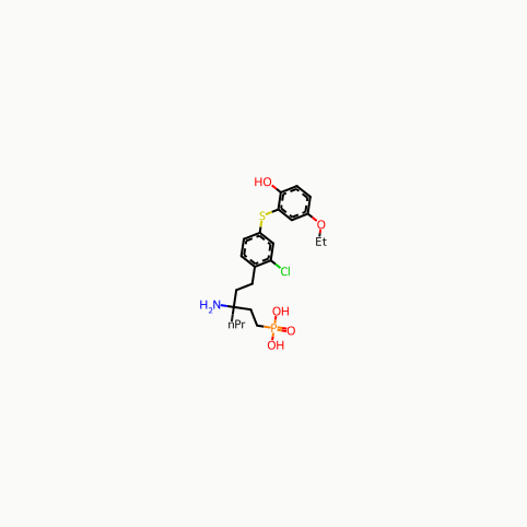 CCCC(N)(CCc1ccc(Sc2cc(OCC)ccc2O)cc1Cl)CCP(=O)(O)O